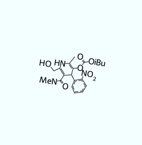 CNC(=O)C1=C(CO)NC(C)=C(OC(=O)OCC(C)C)C1c1ccccc1[N+](=O)[O-]